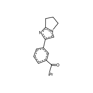 CC(C)C(=O)c1cccc(-c2cn3c(n2)CCC3)c1